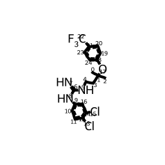 CC(C)(CCNC(=N)Nc1ccc(Cl)c(Cl)c1)Oc1ccc(C(F)(F)F)cc1